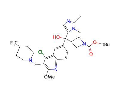 COc1nc2ccc(C(O)(c3cnc(C)n3C)C3CN(C(=O)OC(C)(C)C)C3)cc2c(Cl)c1CN1CCC(C(F)(F)F)CC1